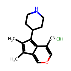 Cc1c2cocc(C#N)c-2c(C2CCNCC2)c1C.Cl